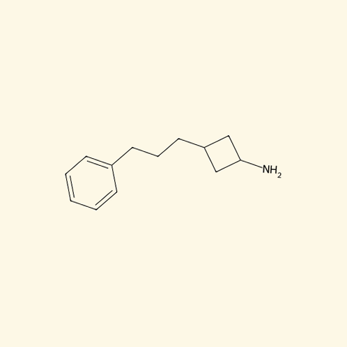 NC1CC(CCCc2ccccc2)C1